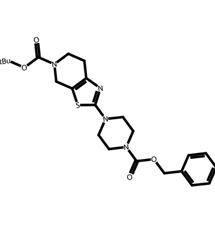 CC(C)(C)OC(=O)N1CCc2nc(N3CCN(C(=O)OCc4ccccc4)CC3)sc2C1